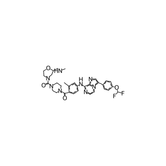 CNCC1CN(C(=O)N2CCN(C(=O)c3ccc(Nc4nccn5c(-c6ccc(OC(F)F)cc6)cnc45)cc3C)CC2)CCO1